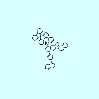 c1ccc(N(c2ccc(-c3ccc(-c4cccc5ccccc45)cc3)cc2)c2cccc3c2-c2ccccc2C32c3ccccc3-c3ccccc32)c(-c2cccc3c2oc2c4ccccc4ccc32)c1